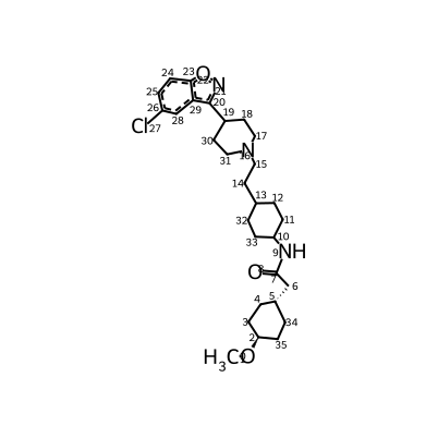 CO[C@H]1CC[C@H](CC(=O)NC2CCC(CCN3CCC(c4noc5ccc(Cl)cc45)CC3)CC2)CC1